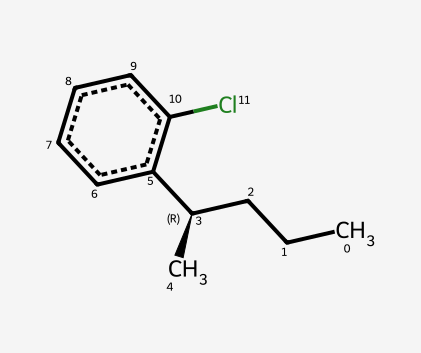 CCC[C@@H](C)c1ccccc1Cl